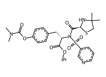 CC(C)OC(=O)[C@H](Cc1ccc(OC(=O)N(C)C)cc1)N(C(=O)[C@H]1NC(C)(C)CS1)S(=O)(=O)c1cccnc1